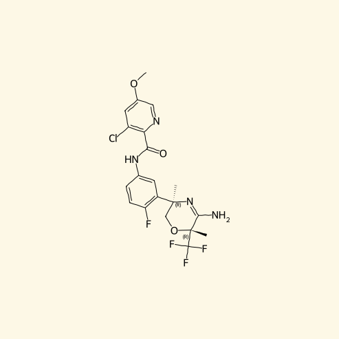 COc1cnc(C(=O)Nc2ccc(F)c([C@]3(C)CO[C@@](C)(C(F)(F)F)C(N)=N3)c2)c(Cl)c1